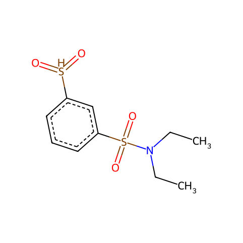 CCN(CC)S(=O)(=O)c1cccc([SH](=O)=O)c1